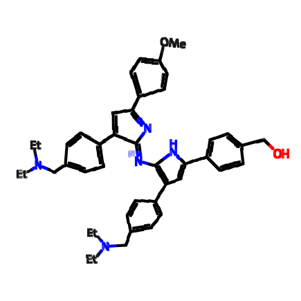 CCN(CC)Cc1ccc(C2=CC(c3ccc(OC)cc3)=N/C2=N\c2[nH]c(-c3ccc(CO)cc3)cc2-c2ccc(CN(CC)CC)cc2)cc1